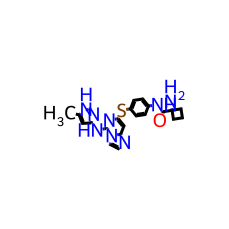 Cc1cc(Nc2nc(Sc3ccc(NC(=O)C4(N)CCC4)cc3)cc3nccn23)n[nH]1